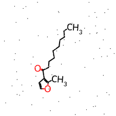 CCCCCCCCCC(=O)c1ccoc1C